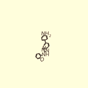 COc1ccccc1Nc1nc2ccc(-c3ccc(N)cc3)cn2n1